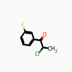 [CH2]C(Cl)C(=O)c1cccc(F)c1